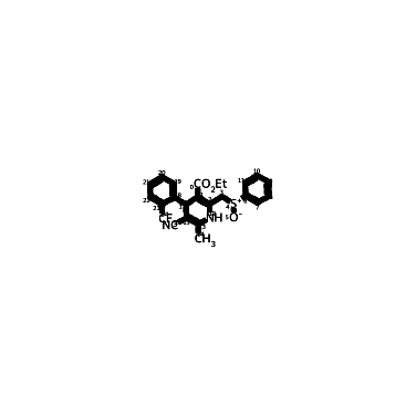 CCOC(=O)C1=C(C[S+]([O-])c2ccccc2)NC(C)=C(C#N)C1c1ccccc1C(F)(F)F